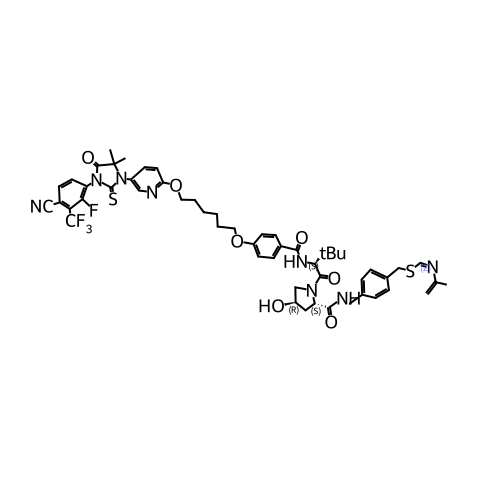 C=C(C)/N=C\SCc1ccc(CNC(=O)[C@@H]2C[C@@H](O)CN2C(=O)[C@@H](NC(=O)c2ccc(OCCCCCCOc3ccc(N4C(=S)N(c5ccc(C#N)c(C(F)(F)F)c5F)C(=O)C4(C)C)cn3)cc2)C(C)(C)C)cc1